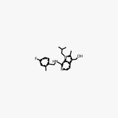 Cc1cc(F)ccc1CNc1nccc2c(CO)c(C)n(CC(C)C)c12